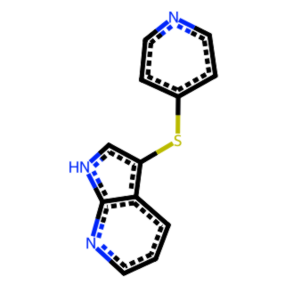 c1cnc2[nH]cc(Sc3ccncc3)c2c1